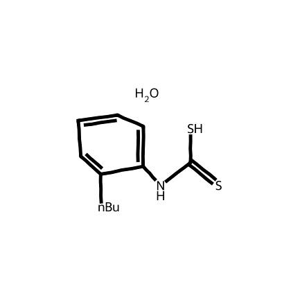 CCCCc1ccccc1NC(=S)S.O